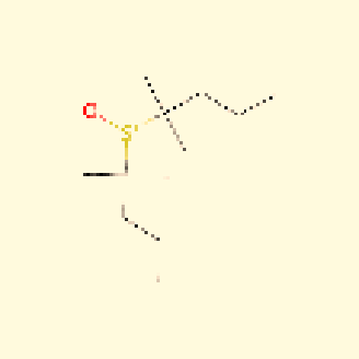 CCCC(C)(C)[S+]([O-])C(C)(C)CCC